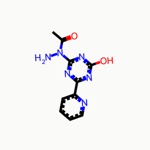 CC(=O)N(N)c1nc(O)nc(-c2ccccn2)n1